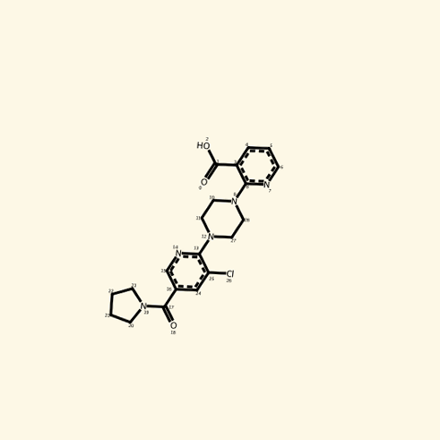 O=C(O)c1cccnc1N1CCN(c2ncc(C(=O)N3CCCC3)cc2Cl)CC1